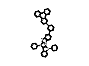 c1ccc(-n2c3c4ccccc4n(-c4ccccc4)c3n3c4ccc(-c5cccc(-c6ccc7c8ccccc8c8ccccc8c7c6)c5)cc4nc23)cc1